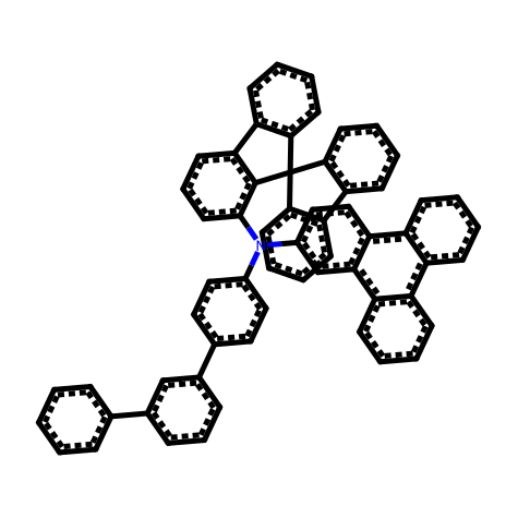 c1ccc(-c2cccc(-c3ccc(N(c4ccc5c6ccccc6c6ccccc6c5c4)c4cccc5c4C4(c6ccccc6-c6ccccc64)c4ccccc4-5)cc3)c2)cc1